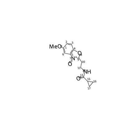 COc1ccc2c(c1)[N+](=O)C(CCNC(=O)C1CC1)O2